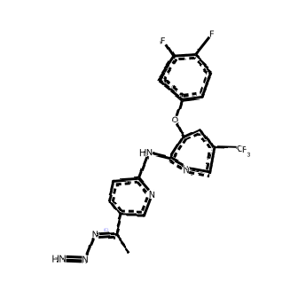 C/C(=N\N=N)c1ccc(Nc2ncc(C(F)(F)F)cc2Oc2ccc(F)c(F)c2)nc1